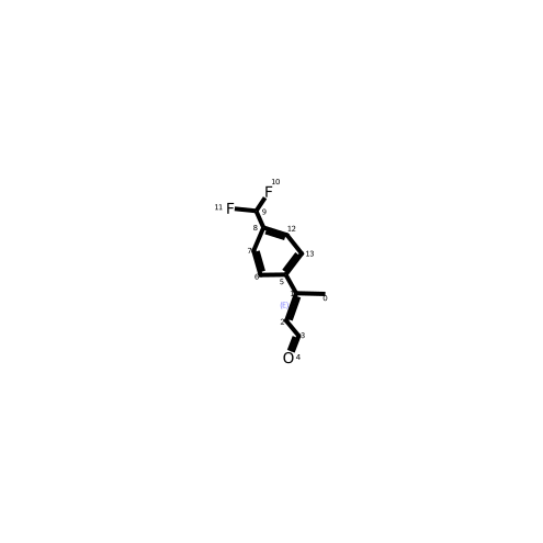 C/C(=C\C=O)c1ccc(C(F)F)cc1